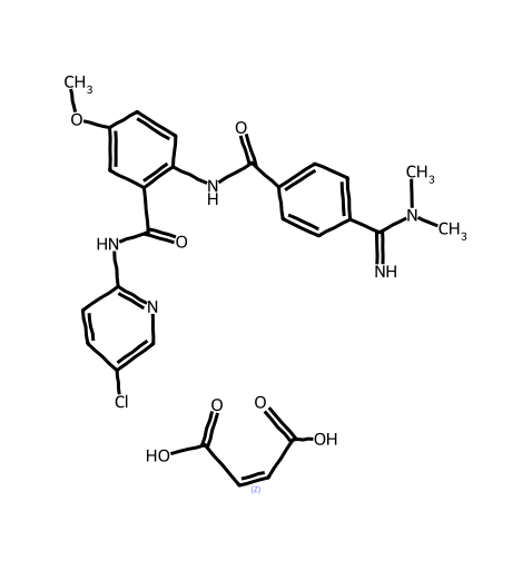 COc1ccc(NC(=O)c2ccc(C(=N)N(C)C)cc2)c(C(=O)Nc2ccc(Cl)cn2)c1.O=C(O)/C=C\C(=O)O